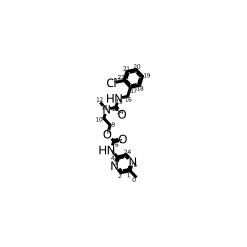 Cc1cnc(NC(=O)OCCN(C)C(=O)NCc2ccccc2Cl)cn1